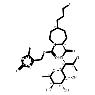 Cc1oc(=O)oc1COC(=O)N1CC[C@@H](CCCF)CC[C@H]1C(=O)N[C@@H]([C@H]1O[C@H](C)[C@H](O)[C@@H](O)[C@H]1O)[C@H](C)Cl